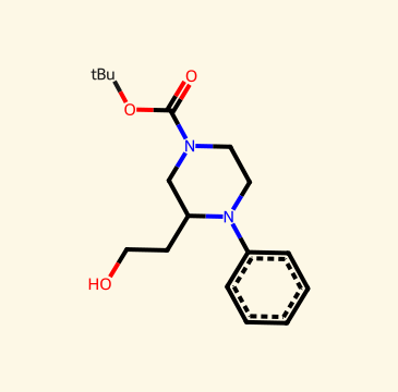 CC(C)(C)OC(=O)N1CCN(c2ccccc2)C(CCO)C1